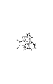 CC1=C(C)c2sc3ccccc3c2[CH]1.[Cl][Zr]([Cl])([Cl])[Cl]